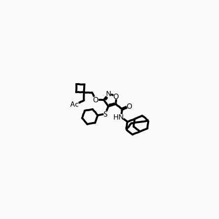 CC(=O)CC1(COc2noc(C(=O)NC3C4CC5CC(C4)CC3C5)c2SC2CCCCC2)CCC1